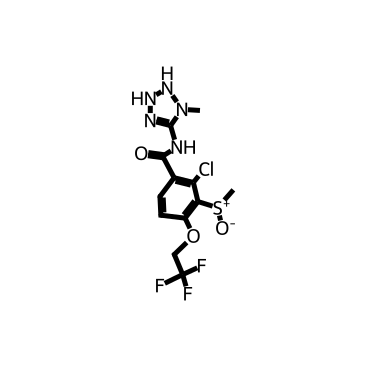 CN1NNN=C1NC(=O)c1ccc(OCC(F)(F)F)c([S+](C)[O-])c1Cl